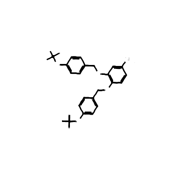 Nc1ccc(OCc2ccc(OC(F)(F)F)cc2)c(OCc2ccc(OC(F)(F)F)cc2)c1